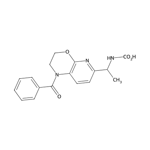 CC(NC(=O)O)c1ccc2c(n1)OCCN2C(=O)c1ccccc1